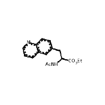 CCOC(=O)C(Cc1ccc2ncccc2c1)NC(C)=O